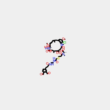 COc1cc2cc(c1Cl)N(C)C(=O)C[C@H](OC(=O)[C@H](C)N(C)C(=O)CCSCC(=O)NCCNC(=O)CCc1ccc(C=O)c(C=O)c1)C1(C)OC1C(C)C1CC(O)(NC(=O)O1)C(OC)/C=C/C=C(\C)C2